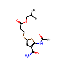 CCCCC(CC)COC(=O)CCSc1cc(C(N)=O)c(NC(=O)C(C)C)s1